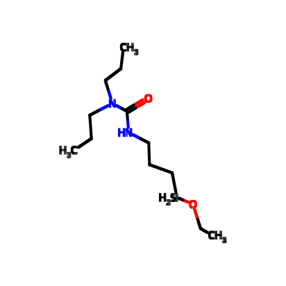 CCCN(CCC)C(=O)NCCC[SiH2]OCC